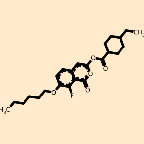 CCCCCCOc1ccc2cc(OC(=O)C3CCC(CC)CC3)oc(=O)c2c1F